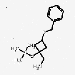 C[Si](C)(C)OC1(CN)CC(OCc2ccccc2)C1